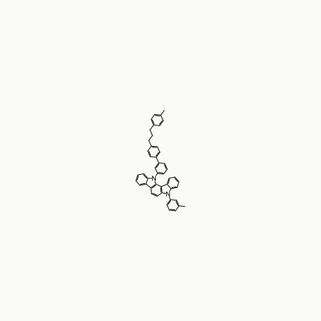 Cc1ccc(CCCc2ccc(-c3cccc(-n4c5ccccc5c5ccc6c(c7ccccc7n6-c6cccc(C)c6)c54)c3)cc2)cc1